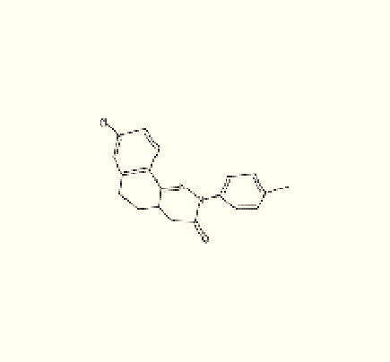 Cc1ccc(N2N=C3c4ccc(Cl)cc4CCC3CC2=O)cc1